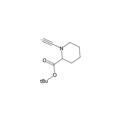 [C]#CN1CCCCC1C(=O)OC(C)(C)C